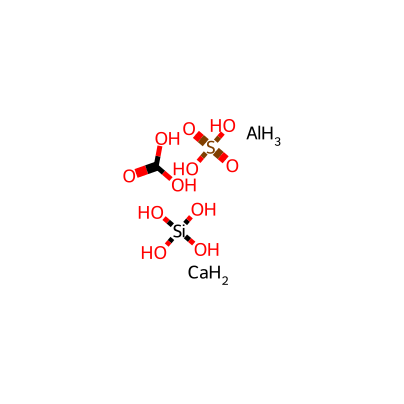 O=C(O)O.O=S(=O)(O)O.O[Si](O)(O)O.[AlH3].[CaH2]